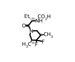 CC[C@H](NC(=O)O)C(=O)N1C[C@@H](C)C(F)(F)[C@@H](C)C1